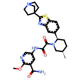 COc1ncc(NC(=O)C(=O)N2C[C@@H](C)CC[C@@H]2c2ccc3sc(C45CCN(CC4)C5)nc3c2)cc1C(N)=O